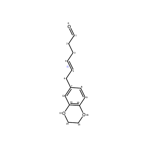 O=[C]CC/C=C/Cc1ccc2c(c1)OCCO2